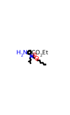 C=CCCCCOCC(=O)N(CC=C(C)C)c1cc(N)ccc1C(=O)OCC